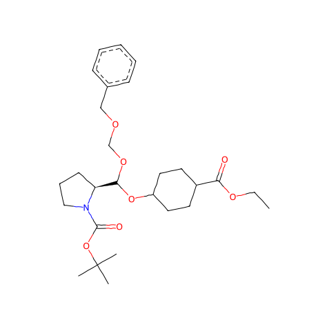 CCOC(=O)C1CCC(OC(OCOCc2ccccc2)[C@@H]2CCCN2C(=O)OC(C)(C)C)CC1